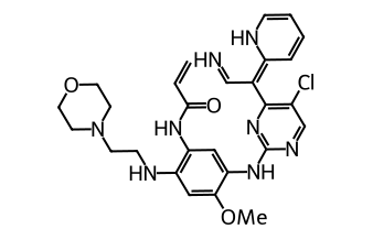 C=CC(=O)Nc1cc(Nc2ncc(Cl)c(/C(C=N)=C3\C=CC=CN3)n2)c(OC)cc1NCCN1CCOCC1